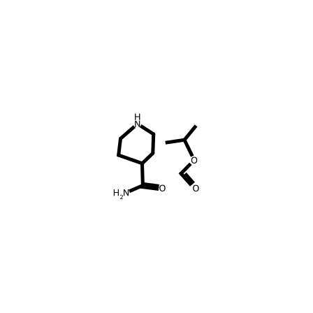 CC(C)OC=O.NC(=O)C1CCNCC1